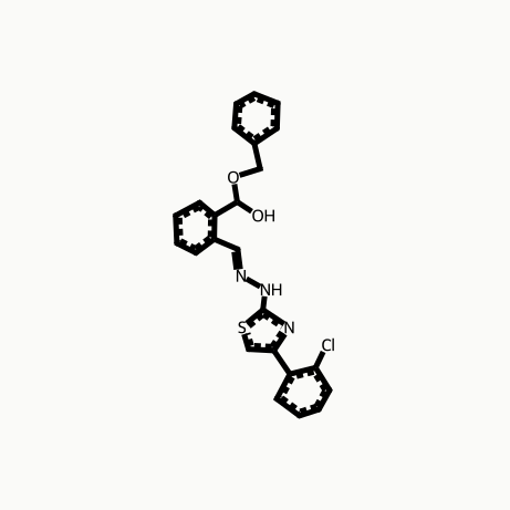 OC(OCc1ccccc1)c1ccccc1/C=N/Nc1nc(-c2ccccc2Cl)cs1